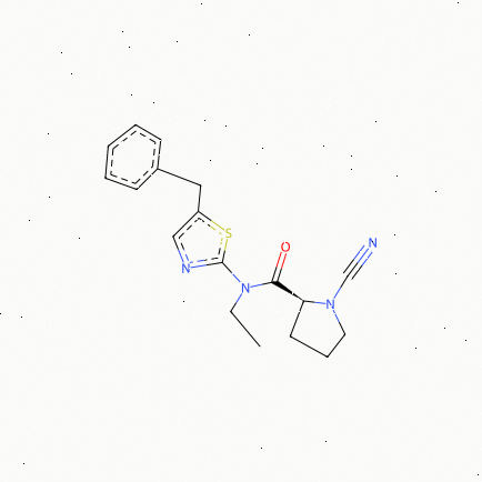 CCN(C(=O)[C@@H]1CCCN1C#N)c1ncc(Cc2ccccc2)s1